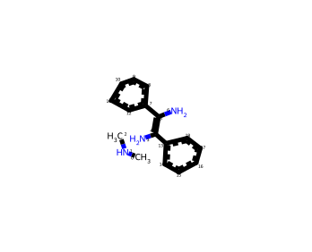 CNC.NC(=C(N)c1ccccc1)c1ccccc1